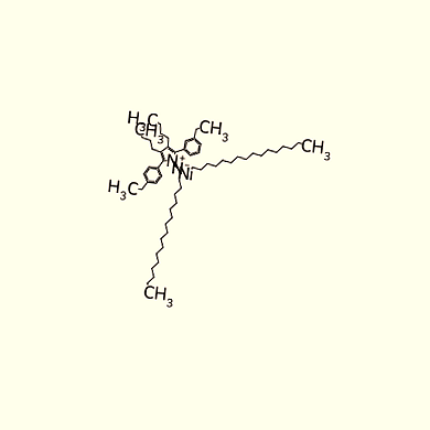 CCCCC1=C(c2ccc(CC)cc2)[N+](=[N-])C(c2cccc(CC)c2)=C1CCCC.CCCCCCCCCCCCCCC[CH2][Ni][CH2]CCCCCCCCCCCCCCC